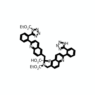 CCOC(=O)N(Cc1ccc2nc(-c3ccccc3-c3nnn[nH]3)ccc2c1)[C@](Cc1ccc2nc(-c3ccccc3-c3nnnn3C(=O)OCC)ccc2c1)(C(=O)O)C(C)C